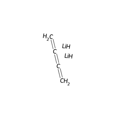 C=C=C=C.[LiH].[LiH]